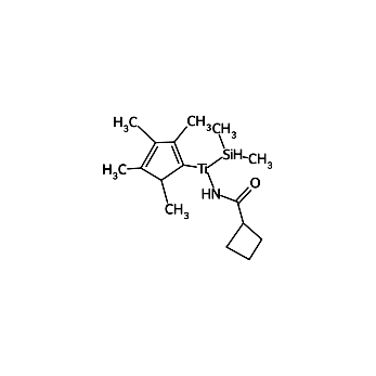 CC1=C(C)C(C)[C]([Ti]([NH]C(=O)C2CCC2)[SiH](C)C)=C1C